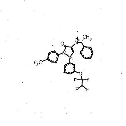 C[C@@H](NC1=C[C@@H](c2cccc(OC(F)(F)C(F)F)c2)N(c2ccc(C(F)(F)F)cc2)C1=O)c1ccccc1